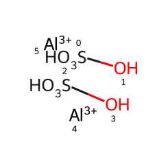 O=S(=O)(O)O.O=S(=O)(O)O.[Al+3].[Al+3]